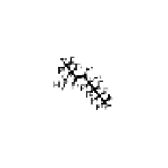 COC(F)(C(F)=C(F)C(F)(F)C(F)(F)C(F)(F)C(F)(F)F)C(F)(F)F